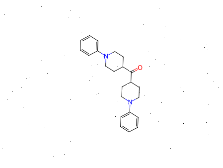 O=C(C1CCN(c2ccccc2)CC1)C1CCN(c2ccccc2)CC1